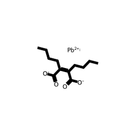 CCCC/C(C(=O)[O-])=C(\CCCC)C(=O)[O-].[Pb+2]